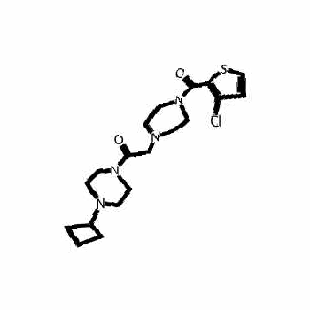 O=C(CN1CCN(C(=O)c2sccc2Cl)CC1)N1CCN(C2CCC2)CC1